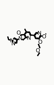 CCOCCOc1cc(-c2cc(C)c3c(n2)CN(c2cnn(CC)c2)C3=O)cnc1OC